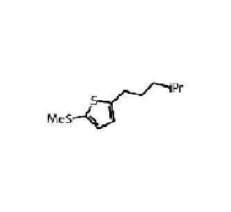 CSc1ccc(CCCC(C)C)s1